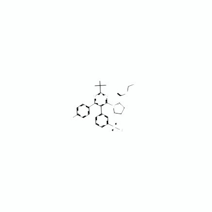 CCOC(=O)[C@@H]1CCCN1c1nc(C(F)(F)F)nc(-c2ccc(F)cc2)c1-c1cccc(S(N)(=O)=O)c1